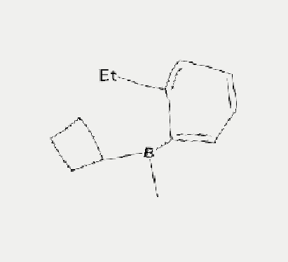 CCc1ccccc1B(C)C1CCC1